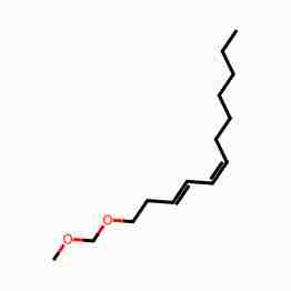 CCCCCC/C=C\C=C\CCOCOC